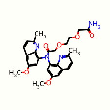 COc1cc(N(C(=O)COCCOCC(N)=O)c2cc(OC)cc3ccc(C)nc23)c2nc(C)ccc2c1